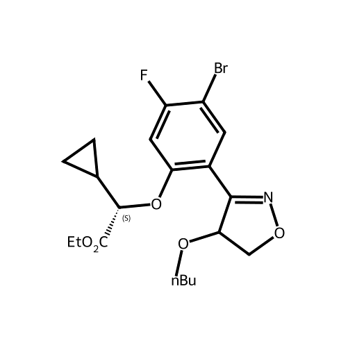 CCCCOC1CON=C1c1cc(Br)c(F)cc1O[C@H](C(=O)OCC)C1CC1